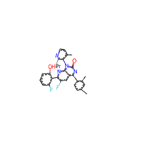 Cc1ccc(-c2nc(=O)n(-c3c(C)ccnc3C(C)C)c3nc(-c4c(O)cccc4F)c(F)cc23)c(C)c1